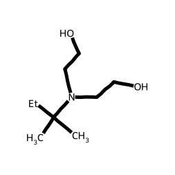 CCC(C)(C)N(CCO)CCO